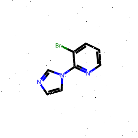 Brc1cccnc1-n1ccnc1